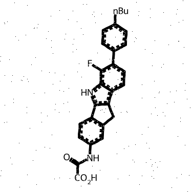 CCCCc1ccc(-c2ccc3c4c([nH]c3c2F)-c2ccc(NC(=O)C(=O)O)cc2C4)cc1